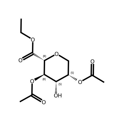 CCOC(=O)[C@@H]1OC[C@H](OC(C)=O)[C@H](O)[C@H]1OC(C)=O